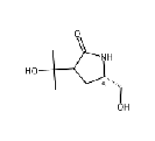 CC(C)(O)C1C[C@@H](CO)NC1=O